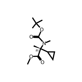 COC(=O)[C@@](C)(C1CC1)N(C)C(=O)OC(C)(C)C